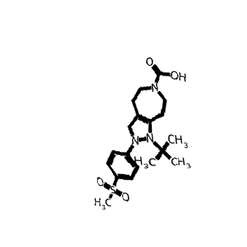 CC(C)(C)N1C2=C(CCN(C(=O)O)CC2)CN1c1ccc(S(C)(=O)=O)cc1